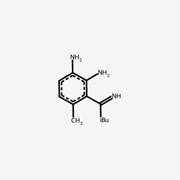 CCC(C)C(=N)c1c(C)ccc(N)c1N